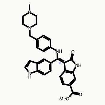 COC(=O)c1ccc2c(c1)NC(=O)/C2=C(\Nc1ccc(CN2CCN(C)CC2)cc1)c1ccc2[nH]ccc2c1